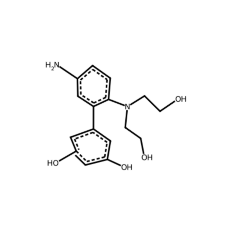 Nc1ccc(N(CCO)CCO)c(-c2cc(O)cc(O)c2)c1